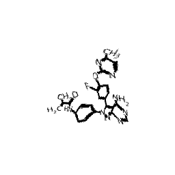 C=C(C)C(=O)Nc1ccc(-n2nc3ncnc(N)c3c2-c2ccc(Oc3nccc(C)n3)c(F)c2)cc1